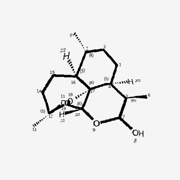 C[C@@H]1CC[C@H]2[C@@H](C)C(O)O[C@@H]3O[C@]4(C)CC[C@@H]1[C@]32OO4